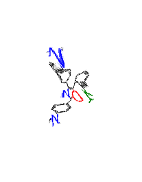 CN(C)c1ccc(-c2nc(-c3ccc(N(C)C)cc3)c(-c3ccccc3F)o2)cc1